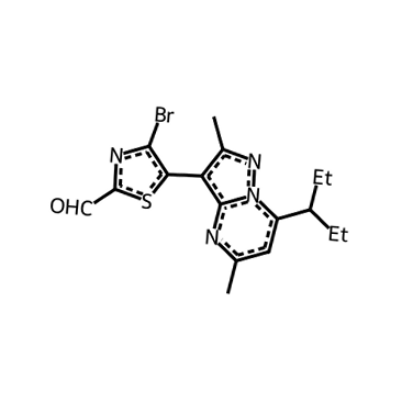 CCC(CC)c1cc(C)nc2c(-c3sc(C=O)nc3Br)c(C)nn12